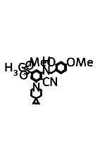 COc1ccc(CNc2cc(S(C)(=O)=O)cc(N3CCC4(CC3)CC4)c2C#N)c(OC)c1